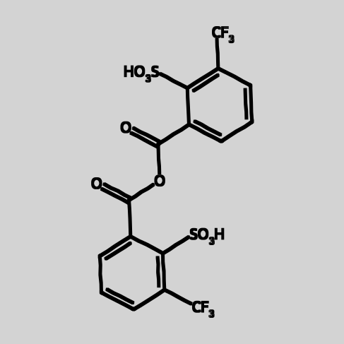 O=C(OC(=O)c1cccc(C(F)(F)F)c1S(=O)(=O)O)c1cccc(C(F)(F)F)c1S(=O)(=O)O